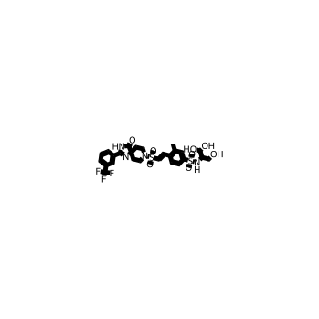 Cc1cc(S(=O)(=O)NC(CO)C(O)O)ccc1C=CS(=O)(=O)N1CCC2(CC1)N=C(c1cccc(C(F)(F)F)c1)NC2=O